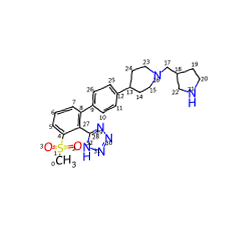 CS(=O)(=O)c1cccc(-c2ccc(C3CCN(CC4CCNC4)CC3)cc2)c1-c1nnn[nH]1